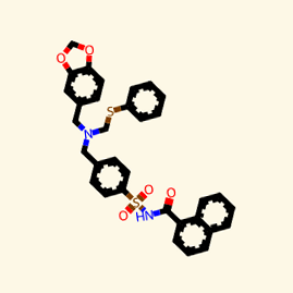 O=C(NS(=O)(=O)c1ccc(CN(CSc2ccccc2)Cc2ccc3c(c2)OCO3)cc1)c1cccc2ccccc12